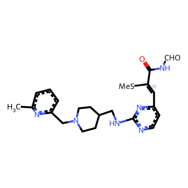 CS/C(=C\c1ccnc(NCC2CCN(Cc3cccc(C)n3)CC2)n1)C(=O)NC=O